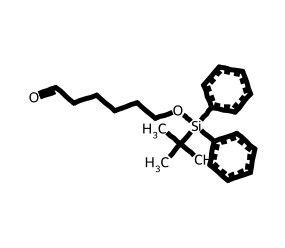 CC(C)(C)[Si](OCCCCCC=O)(c1ccccc1)c1ccccc1